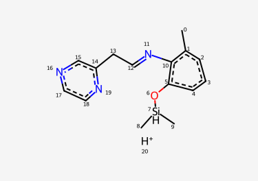 Cc1cccc(O[SiH](C)C)c1N=CCc1cnccn1.[H+]